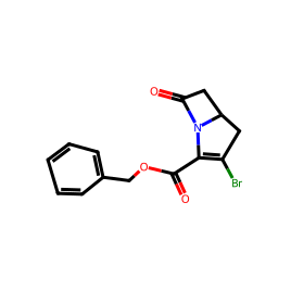 O=C(OCc1ccccc1)C1=C(Br)CC2CC(=O)N12